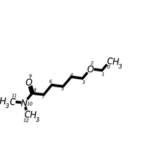 CCOCCCCCC(=O)N(C)C